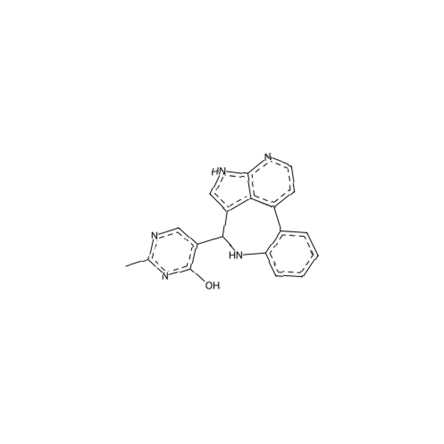 Cc1ncc(C2Nc3ccccc3-c3ccnc4[nH]cc2c34)c(O)n1